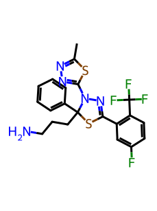 Cc1nnc(N2N=C(c3cc(F)ccc3C(F)(F)F)SC2(CCCN)c2ccccc2)s1